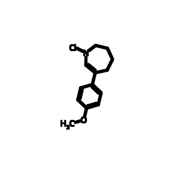 COc1ccc(C2=CN(Cl)CCCC2)cc1